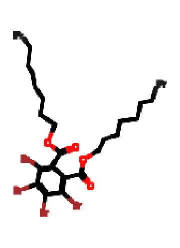 CC(C)CCCCCCCOC(=O)c1c(Br)c(Br)c(Br)c(Br)c1C(=O)OCCCCCCCC(C)C